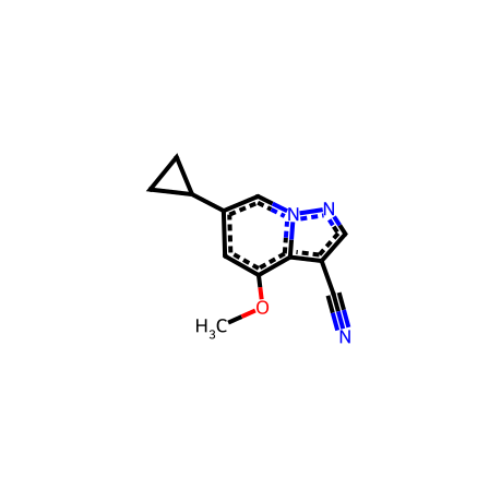 COc1cc(C2CC2)cn2ncc(C#N)c12